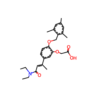 CCN(CC)C(=O)/C=C(\C)c1ccc(OCc2c(C)cc(C)cc2C)c(OCC(=O)O)c1